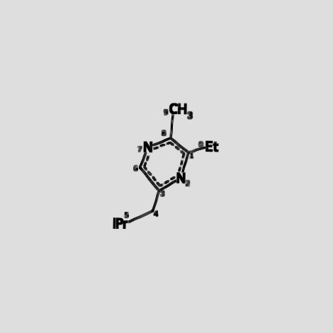 [CH2]Cc1nc(CC(C)C)cnc1C